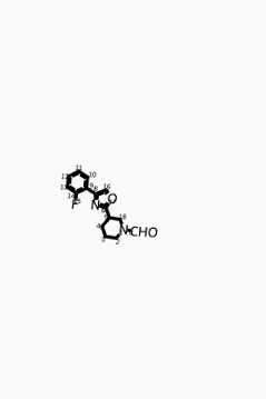 O=CN1CCCC(c2nc(-c3ccccc3F)co2)C1